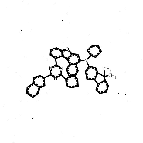 CC1(C)c2ccccc2-c2ccc(N(c3ccccc3)c3cc4oc5cccc(-c6nc(-c7ccccc7)nc(-c7ccc8ccccc8c7)n6)c5c4c4ccccc34)cc21